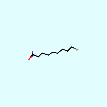 O=C(I)CCCCCCCCBr